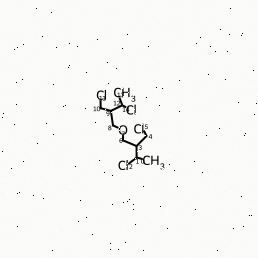 CC(Cl)C(CCl)COCC(CCl)C(C)Cl